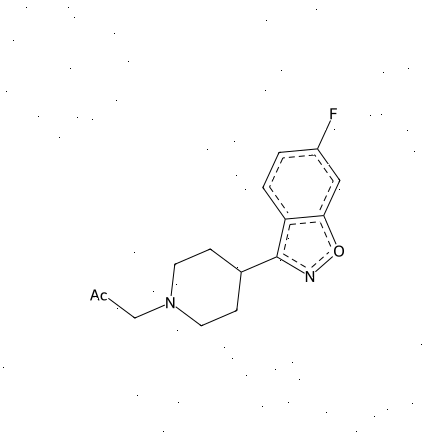 CC(=O)CN1CCC(c2noc3cc(F)ccc23)CC1